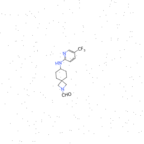 O=CN1CC2(CCC(Nc3ccc(C(F)(F)F)cn3)CC2)C1